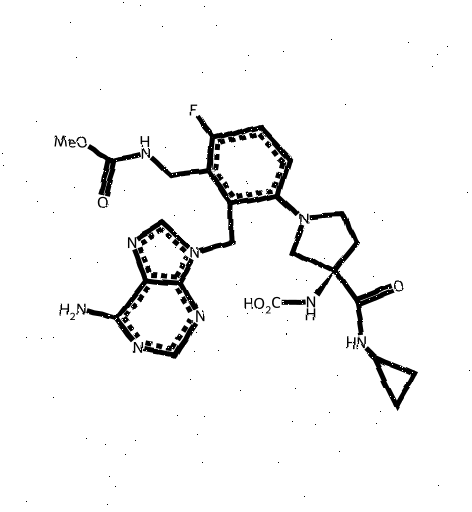 COC(=O)NCc1c(F)ccc(N2CC[C@](NC(=O)O)(C(=O)NC3CC3)C2)c1Cn1cnc2c(N)ncnc21